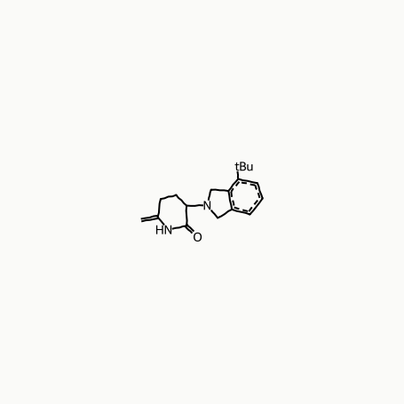 C=C1CCC(N2Cc3cccc(C(C)(C)C)c3C2)C(=O)N1